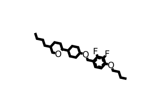 CCCCOc1ccc(COC2CCC(C3CCC(CCCC)CO3)CC2)c(F)c1F